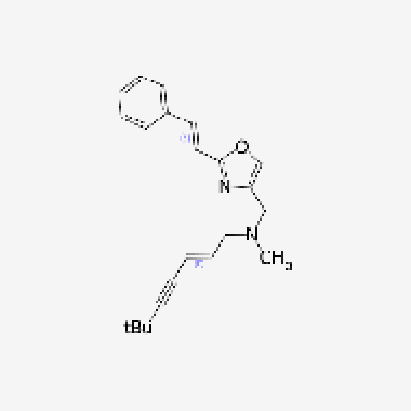 CN(C/C=C/C#CC(C)(C)C)Cc1coc(/C=C/c2ccccc2)n1